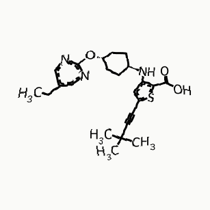 CCc1cnc(O[C@H]2CC[C@H](Nc3cc(C#CC(C)(C)C)sc3C(=O)O)CC2)nc1